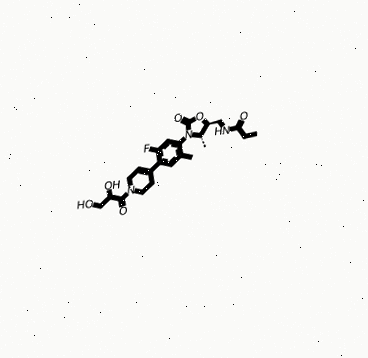 CCC(=O)NC[C@@H]1OC(=O)N(c2cc(F)c(C3=CCN(C(=O)C(O)CO)CC3)cc2C)[C@H]1C